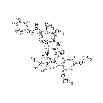 COc1ccc(Cn2c(C3(C(F)(F)F)CC3)nc3sc(N(C)[C@H](C)C(=O)NCc4ccccc4)nc3c2=O)c(OC)c1